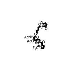 CC(=O)NC1C(OCCCCC(=O)ON2C(=O)CCC2=O)OC(CNC(=O)C2CCCN2C(=O)C(F)(F)F)C(OC(C)=O)C1OC(C)=O